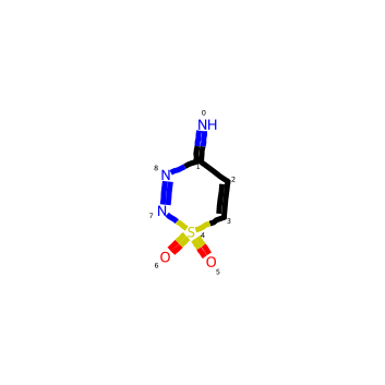 N=C1C=CS(=O)(=O)N=N1